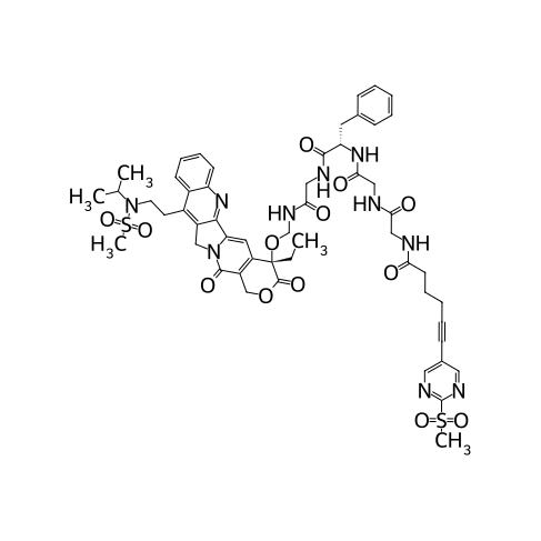 CC[C@@]1(OCNC(=O)CNC(=O)[C@H](Cc2ccccc2)NC(=O)CNC(=O)CNC(=O)CCCC#Cc2cnc(S(C)(=O)=O)nc2)C(=O)OCc2c1cc1n(c2=O)Cc2c-1nc1ccccc1c2CCN(C(C)C)S(C)(=O)=O